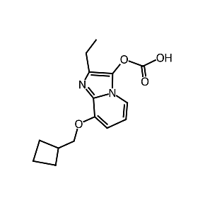 CCc1nc2c(OCC3CCC3)cccn2c1OC(=O)O